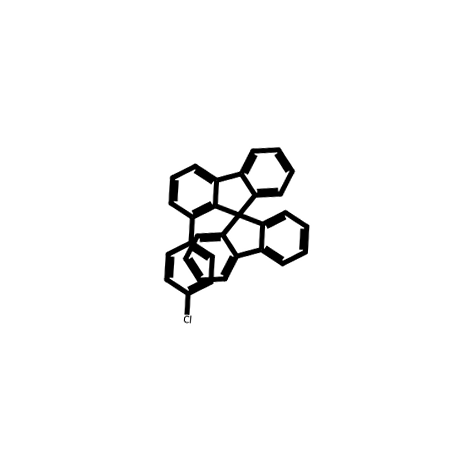 Clc1ccc(-c2cccc3c2C2(c4ccccc4-c4ccccc42)c2ccccc2-3)cc1